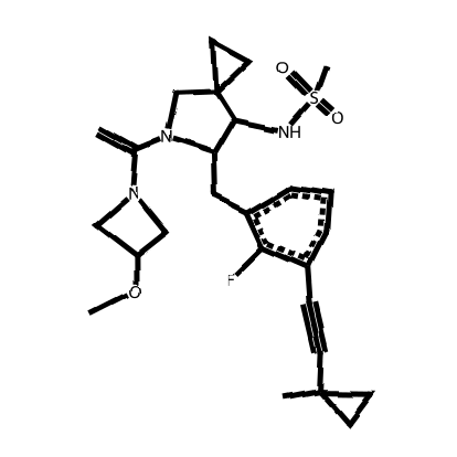 C=C(N1CC(OC)C1)N1CC2(CC2)C(NS(C)(=O)=O)C1Cc1cccc(C#CC2(C)CC2)c1F